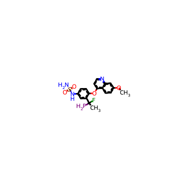 COc1ccc2c(Oc3ccc(NS(N)(=O)=O)cc3C(C)(F)P)ccnc2c1